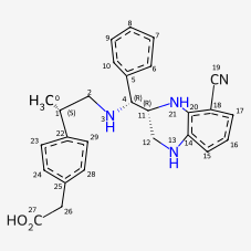 C[C@H](CN[C@H](c1ccccc1)[C@H]1CNc2cccc(C#N)c2N1)c1ccc(CC(=O)O)cc1